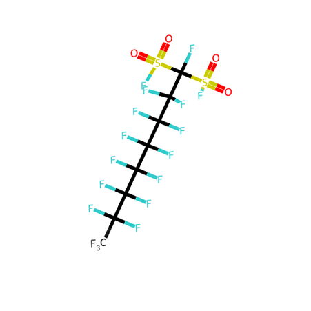 O=S(=O)(F)C(F)(C(F)(F)C(F)(F)C(F)(F)C(F)(F)C(F)(F)C(F)(F)C(F)(F)F)S(=O)(=O)F